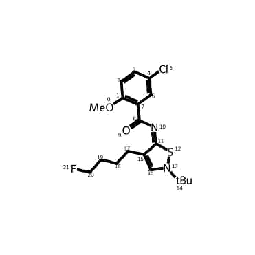 COc1ccc(Cl)cc1C(=O)N=c1sn(C(C)(C)C)cc1CCCCF